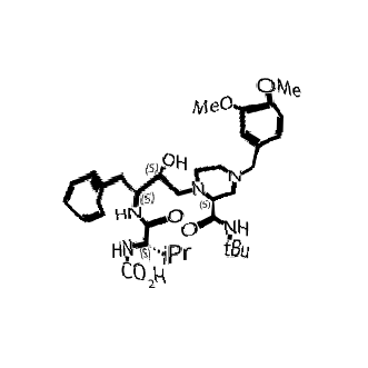 COc1ccc(CN2CCN(C[C@H](O)[C@H](Cc3ccccc3)NC(=O)[C@@H](NC(=O)O)C(C)C)[C@H](C(=O)NC(C)(C)C)C2)cc1OC